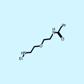 CCNCCOCCNC(=O)C(C)C